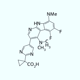 CNc1cc(F)c(F)c2c1[nH]c1ncc(-c3cnc(C4(C(=O)O)CC4)nc3)c(N(C)C)c12